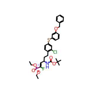 CCOP(=O)(OCC)/C(F)=C/C(CCc1ccc(Sc2cccc(OCc3ccccc3)c2)cc1Cl)NC(=O)OC(C)(C)C